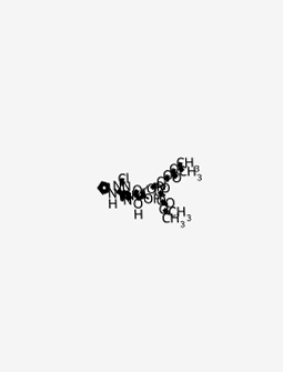 CC(C)OC(=O)OCOP(=O)(COC[C@H]1O[C@@H](n2ncc3c(NC4CCCC4)nc(Cl)nc32)[C@H](O)[C@@H]1O)OCOC(=O)OC(C)C